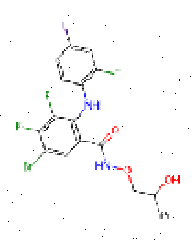 CC(C)C(O)CONC(=O)c1cc(Br)c(F)c(F)c1Nc1ccc(I)cc1F